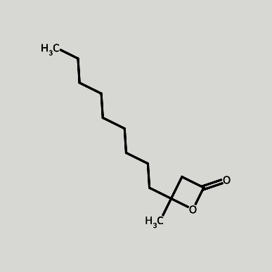 CCCCCCCCCC1(C)CC(=O)O1